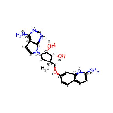 C[C@]1(COc2ccc3ccc(N)nc3c2)C[C@@H](n2ccc3c(N)ncnc32)[C@H](O)[C@@H]1O